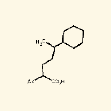 CC(=O)C(CCC(C)C1CCCCC1)C(=O)O